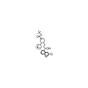 COc1cnc2cccc(C(O)CC[C@@H]3CCN(C(=O)OC(C)(C)C)C[C@@H]3C3COC(C)(C)O3)c2c1